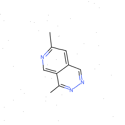 Cc1cc2cnnc(C)c2cn1